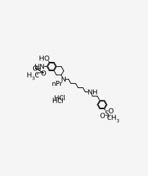 CCCN(CCCCCCNCCc1ccc(S(C)(=O)=O)cc1)C1CCc2cc(O)c(NS(C)(=O)=O)cc2C1.Cl.Cl